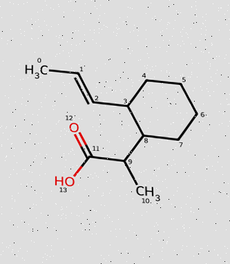 CC=CC1CCCCC1C(C)C(=O)O